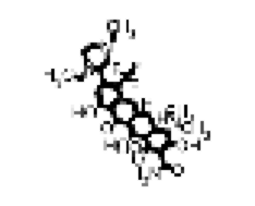 CCN1CCN(CC)C(c2cc(O)c3c(c2C(F)(F)F)C[C@H]2C[C@H]4[C@H](N(C)C)C(O)=C(C(N)=O)C(=O)[C@@]4(O)C(O)=C2C3=O)C1